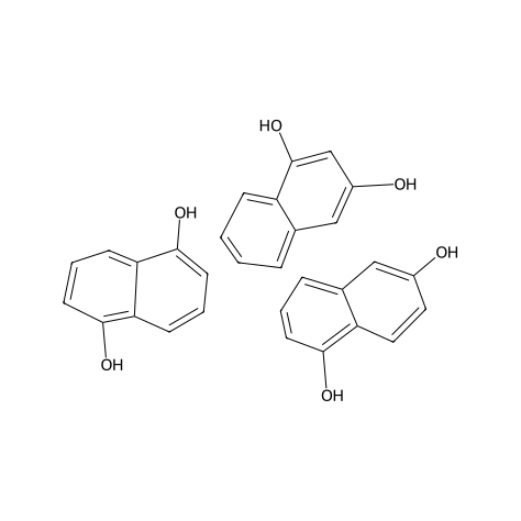 Oc1cc(O)c2ccccc2c1.Oc1ccc2c(O)cccc2c1.Oc1cccc2c(O)cccc12